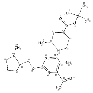 CC1CN(C(=O)OC(C)(C)C)CCN1c1nc(OCC2CCCN2C)nc(C(=O)O)c1N